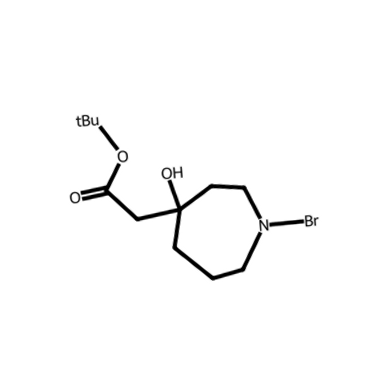 CC(C)(C)OC(=O)CC1(O)CCCN(Br)CC1